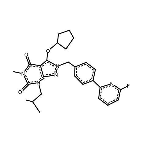 CC(C)Cn1c(=O)n(C)c(=O)c2c(OC3CCCC3)n(Cc3ccc(-c4cccc(F)n4)cc3)nc21